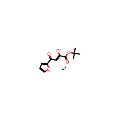 CC(C)(C)OC(=O)/C([O-])=C/C(=O)c1ccco1.[Li+]